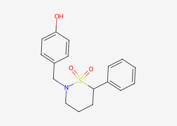 O=S1(=O)C(c2ccccc2)CCCN1Cc1ccc(O)cc1